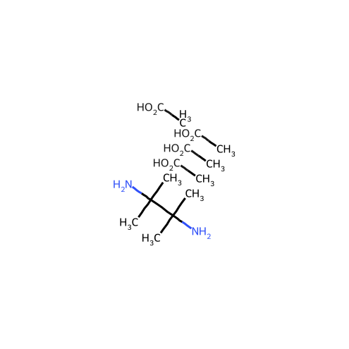 CC(=O)O.CC(=O)O.CC(=O)O.CC(=O)O.CC(C)(N)C(C)(C)N